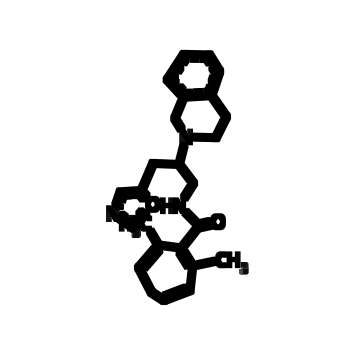 CC1=CCC=CC(C)=C1C(=O)NCC(Cc1cnco1)N1CCc2ccccc2C1